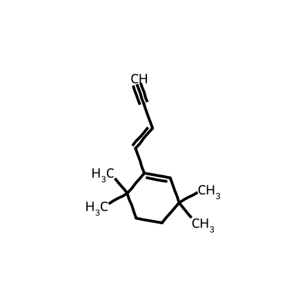 C#CC=CC1=CC(C)(C)CCC1(C)C